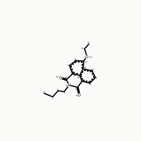 CCCCN1C(=O)c2cccc3c(OCC)ccc(c23)C1=O